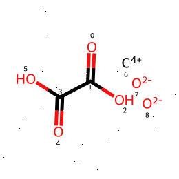 O=C(O)C(=O)O.[C+4].[O-2].[O-2]